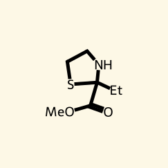 CCC1(C(=O)OC)NCCS1